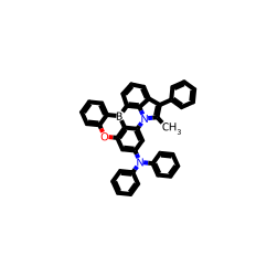 Cc1c(-c2ccccc2)c2cccc3c2n1-c1cc(N(c2ccccc2)c2ccccc2)cc2c1B3c1ccccc1O2